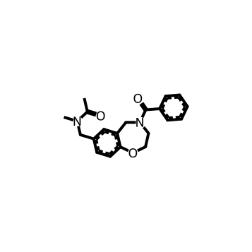 CC(=O)N(C)Cc1ccc2c(c1)CN(C(=O)c1ccccc1)CCO2